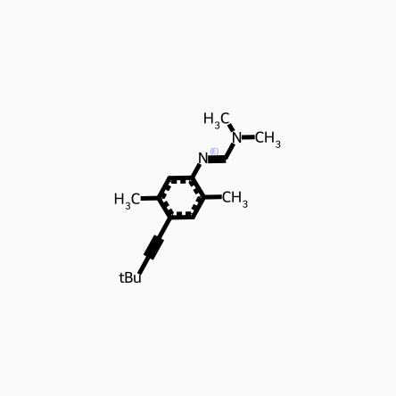 Cc1cc(/N=C/N(C)C)c(C)cc1C#CC(C)(C)C